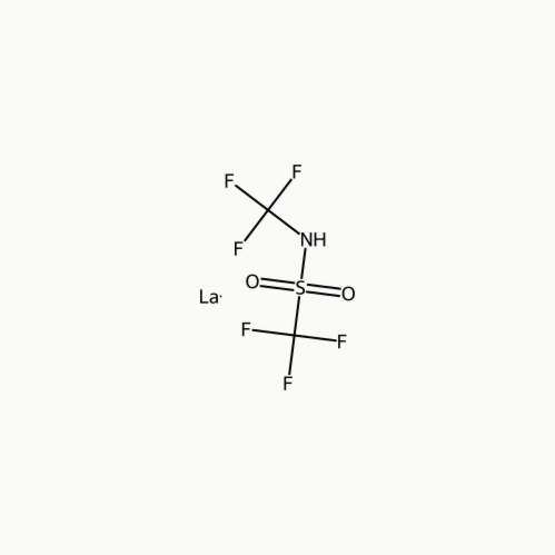 O=S(=O)(NC(F)(F)F)C(F)(F)F.[La]